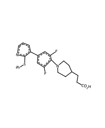 CC(C)Sc1ncccc1-c1cc(F)c(N2CCC(CCC(=O)O)CC2)c(F)c1